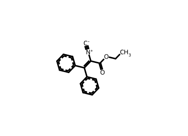 [C-]#[N+]C(C(=O)OCC)=C(c1ccccc1)c1ccccc1